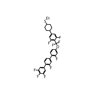 CCSC1CCC(c2cc(F)c(C(F)(F)Oc3ccc(-c4ccc(-c5cc(F)c(F)c(F)c5)c(F)c4)c(F)c3)c(F)c2)CC1